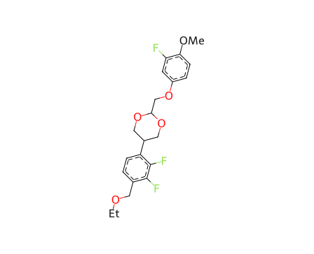 CCOCc1ccc(C2COC(COc3ccc(OC)c(F)c3)OC2)c(F)c1F